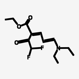 CCOC(=O)C(=CC=CN(CC)CC)C(=O)C(F)F